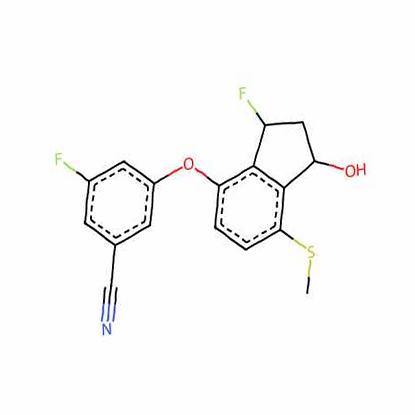 CSc1ccc(Oc2cc(F)cc(C#N)c2)c2c1C(O)CC2F